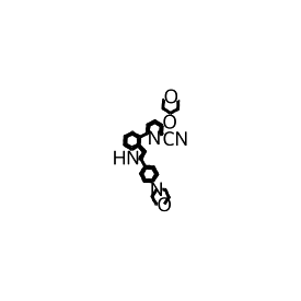 N#Cc1nc(-c2cccc3[nH]c(-c4ccc(N5CCOCC5)cc4)cc23)ccc1OC1CCOCC1